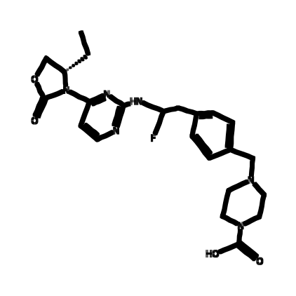 CC[C@H]1COC(=O)N1c1ccnc(NC(F)Cc2ccc(CN3CCN(C(=O)O)CC3)cc2)n1